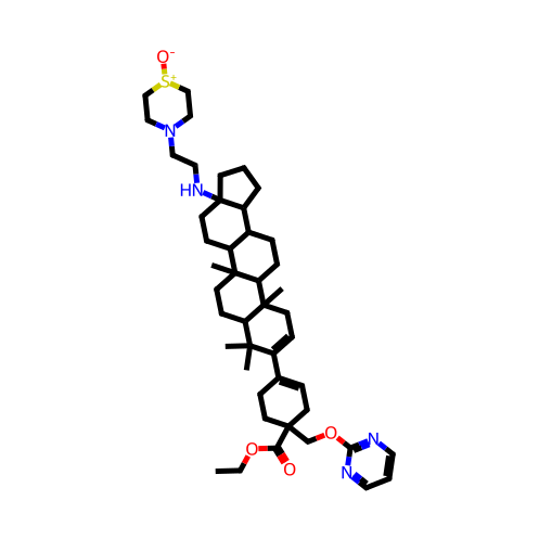 CCOC(=O)C1(COc2ncccn2)CC=C(C2=CCC3(C)C(CCC4(C)C5CCC6(NCCN7CC[S+]([O-])CC7)CCCC6C5CCC43)C2(C)C)CC1